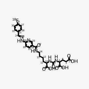 O=C(O)CCC(NC(=O)NC(CCCCNC(=O)c1ccc(NN=Cc2ccc([18F])cc2)nc1)C(=O)O)C(=O)O